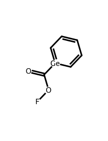 O=[C](OF)[Ge]1=[CH]C=CC=[CH]1